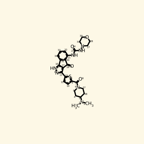 CN(C)C1CCN(C(=O)c2ccc(-c3n[nH]c4c3C(=O)c3c(NC(=O)NN5CCOCC5)cccc3-4)s2)CC1